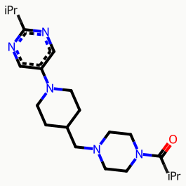 CC(C)C(=O)N1CCN(CC2CCN(c3cnc(C(C)C)nc3)CC2)CC1